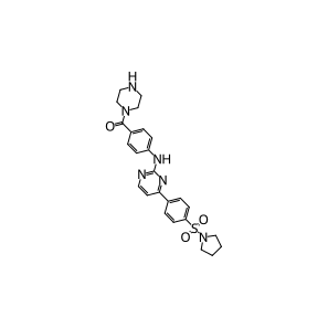 O=C(c1ccc(Nc2nccc(-c3ccc(S(=O)(=O)N4CCCC4)cc3)n2)cc1)N1CCNCC1